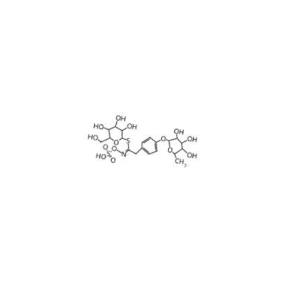 CC1OC(Oc2ccc(C/C(=N/OS(=O)(=O)O)SC3OC(CO)C(O)C(O)C3O)cc2)C(O)C(O)C1O